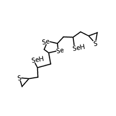 [SeH]C(CC1CS1)CC1C[Se]C(CC([SeH])CC2CS2)[Se]1